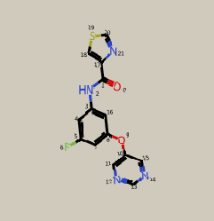 O=C(Nc1cc(F)cc(Oc2cncnc2)c1)c1cscn1